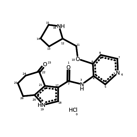 Cl.O=C(Nc1cnccc1OCC1CCCN1)c1c[nH]c2c1C(=O)CCC2